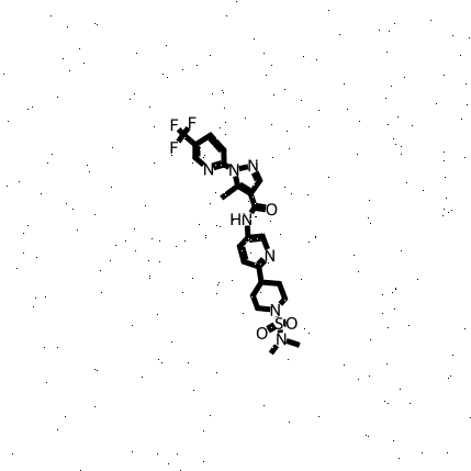 Cc1c(C(=O)Nc2ccc(C3CCN(S(=O)(=O)N(C)C)CC3)nc2)cnn1-c1ccc(C(F)(F)F)cn1